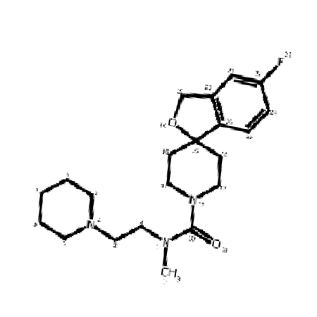 CN(CCN1CCCCC1)C(=O)N1CCC2(CC1)OCc1cc(F)ccc12